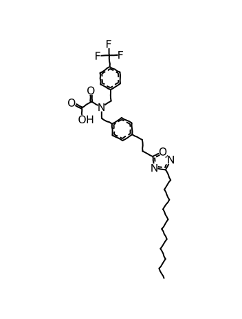 CCCCCCCCCCCc1noc(CCc2ccc(CN(Cc3ccc(C(F)(F)F)cc3)C(=O)C(=O)O)cc2)n1